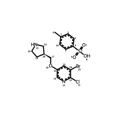 Cc1ccc(S(=O)(=O)O)cc1.Clc1ncc(OC[C@H]2CCNC2)cc1Br